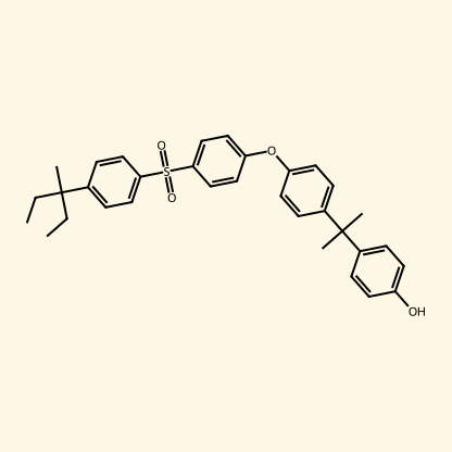 CCC(C)(CC)c1ccc(S(=O)(=O)c2ccc(Oc3ccc(C(C)(C)c4ccc(O)cc4)cc3)cc2)cc1